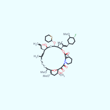 C=CC[C@@H]1/C=C(\C)CCC[C@H](OC)[C@H]2O[C@@](O)(C(=O)C(=O)N3CCCC[C@H]3C(=O)O[C@H](/C(C)=C/[C@@H]3CC[C@@H](F)[C@H](OC)C3)[C@H](C)[C@@H](O[C@@H]3CCCCS3)CC1O)[C@H](C)C[C@@H]2OC